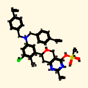 COc1ccc(CN(Cc2ccc(OC)cc2)c2cc(Cl)c(C(F)(F)F)c(C3Cc4nc(SC)nc(OS(=O)(=O)C(F)(F)F)c4CO3)c2)cc1